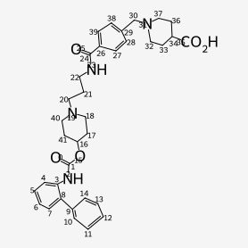 O=C(Nc1ccccc1-c1ccccc1)OC1CCN(CCCNC(=O)c2ccc(CN3CCC(C(=O)O)CC3)cc2)CC1